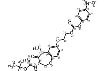 CN1C(=O)[C@@H](NC(=O)OC(C)(C)C)COc2ccc(OCCOC(=O)Oc3ccc([N+](=O)[O-])cc3)cc21